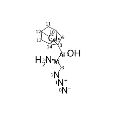 [N-]=[N+]=NC[C@@H](N)[C@@H](O)C12CC3CC(CC1C3)C2